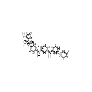 Cc1cccc(-c2nccc(Nc3ccnc(Nc4ccc(NS(=O)(=O)c5c[nH]cn5)cc4)n3)n2)n1